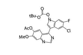 COc1cc2ncnc(-c3cn(OC(=O)OC(C)(C)C)c4cc(F)c(Cl)cc34)c2cc1OC(C)=O